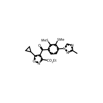 CCOC(=O)c1noc(C2CC2)c1C(=O)c1ccc(-n2cnc(C)n2)c(SC)c1SC